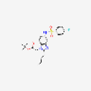 CCCCc1nc2cc(NS(=O)(=O)c3ccc(F)cc3)ccc2n1CC(=O)OC(C)(C)C